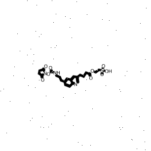 O=C(CCCc1cnc2ccc(CCCNC(=O)ON3C(=O)CCC3=O)cc2c1)OCCS(=O)(=O)O